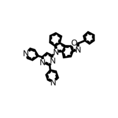 c1ccc(-c2nc3ccc4c(c5ccccc5n4-c4cc(-c5ccncc5)nc(-c5ccncc5)n4)c3o2)cc1